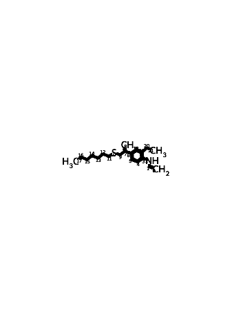 C=CNc1ccc(C(=C)CSCCCCCCC)cc1CC